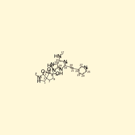 CCC1(C(=O)NC)CC[C@@](O)(n2cnc3c(NC)nc(C#Cc4cccnc4)nc32)[C@@]1(C)O